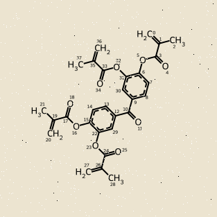 C=C(C)C(=O)Oc1ccc(C(=O)c2ccc(OC(=O)C(=C)C)c(OC(=O)C(=C)C)c2)cc1OC(=O)C(=C)C